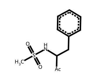 CC(=O)C(Cc1ccccc1)NS(C)(=O)=O